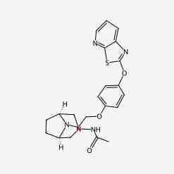 CC(=O)NN1C[C@H]2CC[C@@H](C1)N2CCOc1ccc(Oc2nc3cccnc3s2)cc1